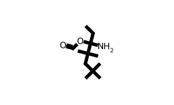 CCC(N)(O[C]=O)C(C)(C)CC(C)(C)C